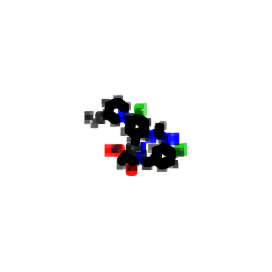 C/C(=N\c1cc(Cl)c(N2CCCC(C(F)(F)F)C2)cc1C)Nc1cc(CNC(=O)C(C)(O)C(F)(F)F)ccc1Cl